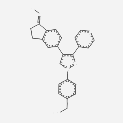 NCc1ccc(-n2cc(-c3ccc4c(c3)CCC4=NO)c(-c3ccncc3)n2)cc1